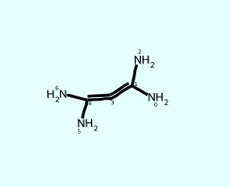 NC(N)=C=C(N)N